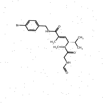 C/C(=C\[C@H](C(C)C)N(C)C(=O)CNC=O)C(=O)NCc1ccc(Br)cc1